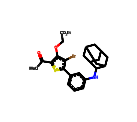 CCOC(=O)COc1c(C(=O)OC)sc(-c2cccc(NC3C4CC5CC(C4)CC3C5)c2)c1Br